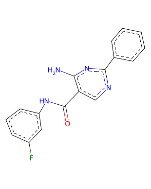 Nc1nc(-c2ccccc2)ncc1C(=O)Nc1cccc(F)c1